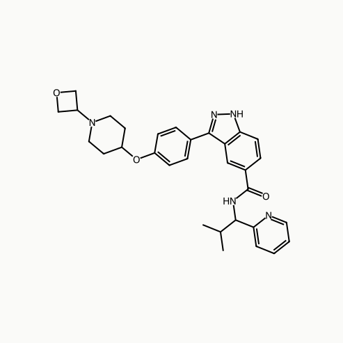 CC(C)C(NC(=O)c1ccc2[nH]nc(-c3ccc(OC4CCN(C5COC5)CC4)cc3)c2c1)c1ccccn1